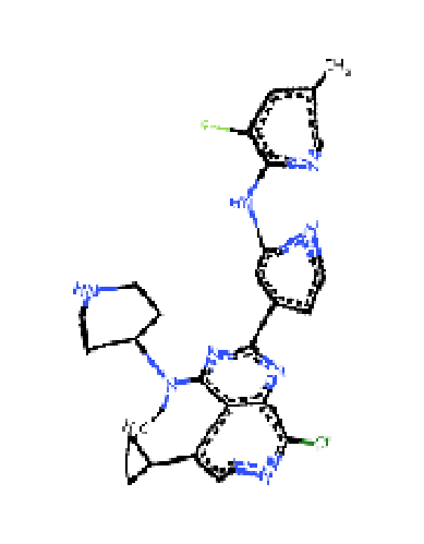 Cc1cnc(Nc2cc(-c3nc(N(C)C4CCNCC4)c4c(C5CC5)cnc(Cl)c4n3)ccn2)c(F)c1